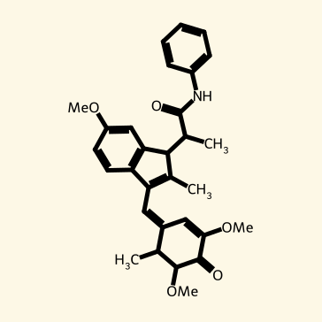 COC1=CC(=CC2=C(C)C(C(C)C(=O)Nc3ccccc3)c3cc(OC)ccc32)C(C)C(OC)C1=O